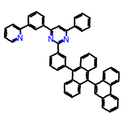 c1ccc(-c2cc(-c3cccc(-c4ccccn4)c3)nc(-c3cccc(-c4c5ccccc5c(-c5cc6ccccc6c6ccccc56)c5ccccc45)c3)n2)cc1